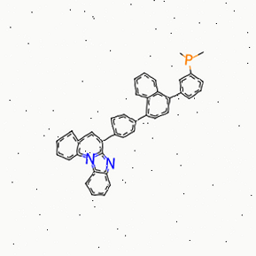 CP(C)c1cccc(-c2ccc(-c3ccc(-c4cc5ccccc5n5c4nc4ccccc45)cc3)c3ccccc23)c1